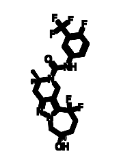 C[C@@H]1Cc2nn3c(c2CN1C(=O)Nc1ccc(F)c(C(F)(F)F)c1)C(F)(F)CC[C@@H](O)C3